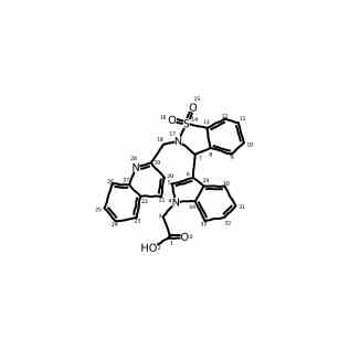 O=C(O)Cn1cc(C2c3ccccc3S(=O)(=O)N2Cc2ccc3ccccc3n2)c2ccccc21